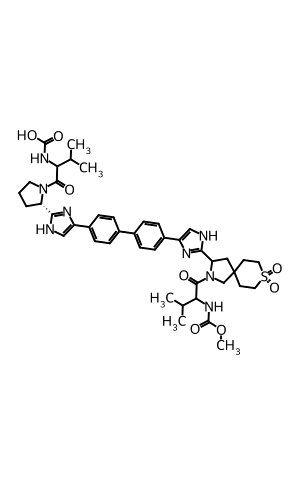 COC(=O)NC(C(=O)N1CC2(CCS(=O)(=O)CC2)CC1c1nc(-c2ccc(-c3ccc(-c4c[nH]c([C@@H]5CCCN5C(=O)C(NC(=O)O)C(C)C)n4)cc3)cc2)c[nH]1)C(C)C